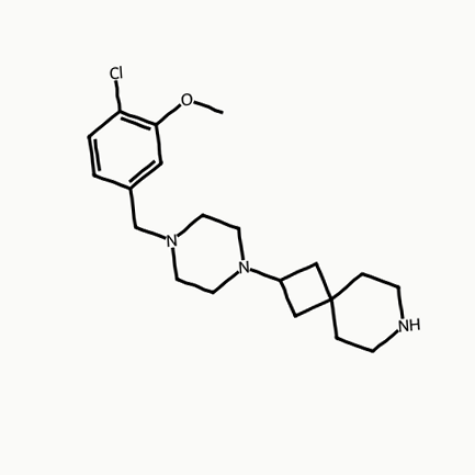 COc1cc(CN2CCN(C3CC4(CCNCC4)C3)CC2)ccc1Cl